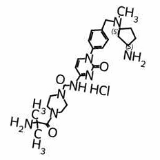 CN(Cc1ccc(-n2ccc(NC(=O)N3CCN(C(=O)C(C)(C)N)CC3)nc2=O)cc1)[C@H]1CC[C@H](N)C1.Cl